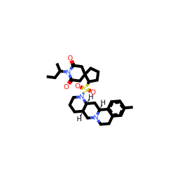 CCC(C)N1C(=O)CC2(CCCC2S(=O)(=O)N2CCC[C@@H]3CN4CCc5cc(C)ccc5[C@@H]4C[C@@H]32)CC1=O